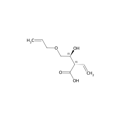 C=CCOC[C@@H](O)[C@H](C=C)C(=O)O